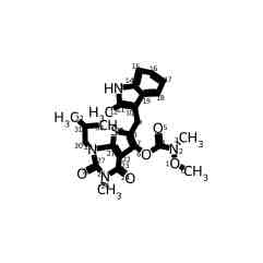 CON(C)C(=O)Oc1c(Cc2c(C)[nH]c3ccccc23)sc2c1c(=O)n(C)c(=O)n2CC(C)C